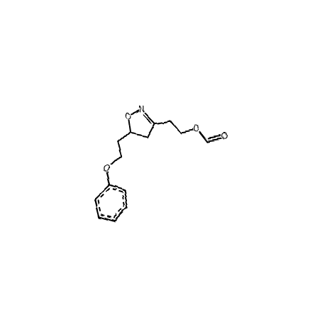 O=COCCC1=NOC(CCOc2ccccc2)C1